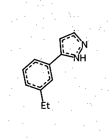 CCc1cccc(-c2c[c]n[nH]2)c1